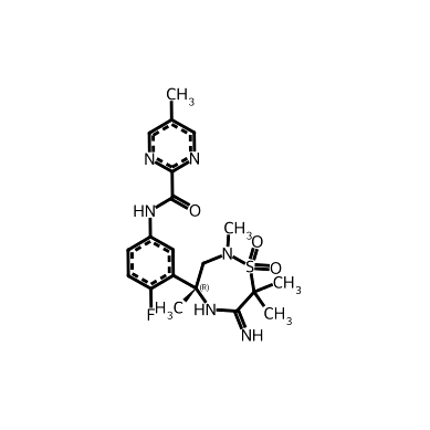 Cc1cnc(C(=O)Nc2ccc(F)c([C@]3(C)CN(C)S(=O)(=O)C(C)(C)C(=N)N3)c2)nc1